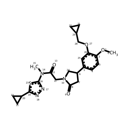 COc1ccc(C2CC(=O)N(CC(=O)N(C)c3nnc(C4CC4)s3)C2)cc1OCC1CC1